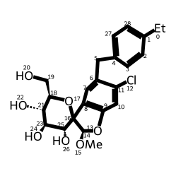 CCc1ccc(Cc2cc3c(cc2Cl)O[C@@H](OC)C32O[C@H](CO)[C@@H](O)[C@H](O)[C@H]2O)cc1